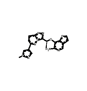 C[C@H](Oc1c(N)ncc2ccoc12)c1nnc2ccc(-c3cnn(C)c3)nn12